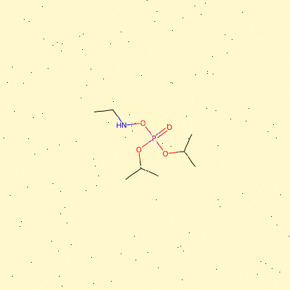 CCNOP(=O)(OC(C)C)OC(C)C